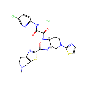 CN1CCc2nc(C(=O)N[C@@H]3CN(c4nccs4)CC[C@@H]3NC(=O)C(=O)Nc3ccc(Cl)cn3)sc2C1.Cl